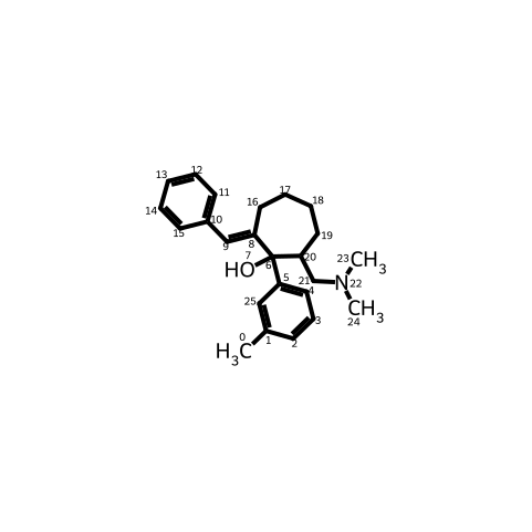 Cc1cccc(C2(O)C(=Cc3ccccc3)CCCCC2CN(C)C)c1